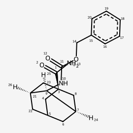 NC(=O)[C@]12CC3C[C@H](C1)[C@H](NC(=O)OCc1ccccc1)[C@@H](C3)C2